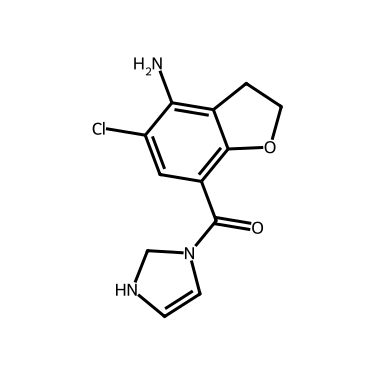 Nc1c(Cl)cc(C(=O)N2C=CNC2)c2c1CCO2